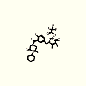 Cc1c(Cc2ccc(F)c(C(=O)N3CC(=O)N(C4CCCCC4)C(C)C3)c2)nn(OC(=O)C(F)(F)F)c(=O)c1C